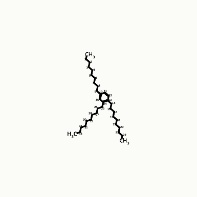 CCCCCCCCCCc1ccc(CCCCCCCCCC)c(CCCCCCCCCC)c1